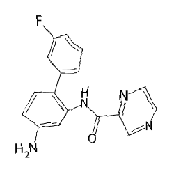 Nc1ccc(-c2cccc(F)c2)c(NC(=O)c2cnccn2)c1